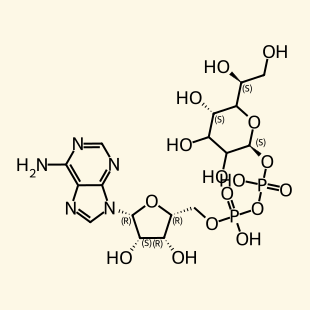 Nc1ncnc2c1ncn2[C@@H]1O[C@H](COP(=O)(O)OP(=O)(O)O[C@@H]2OC([C@@H](O)CO)[C@@H](O)C(O)C2O)[C@H](O)[C@@H]1O